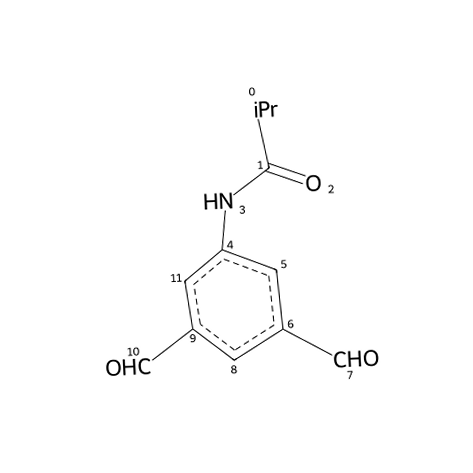 CC(C)C(=O)Nc1cc(C=O)cc(C=O)c1